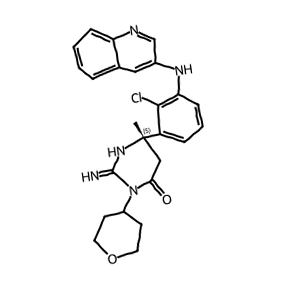 C[C@@]1(c2cccc(Nc3cnc4ccccc4c3)c2Cl)CC(=O)N(C2CCOCC2)C(=N)N1